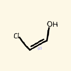 O/C=C\Cl